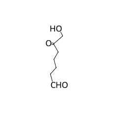 O=CCCCCC(=O)CO